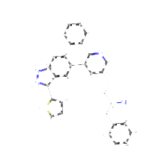 N[C@H](COc1cnc(-c2ccccc2)c(-c2ccc3[nH]nc(-c4cccs4)c3c2)c1)Cc1ccccc1